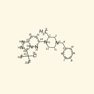 CC1CN(Cc2ccccc2)CCN1c1ccc2nnc(C(F)(F)Cl)n2n1